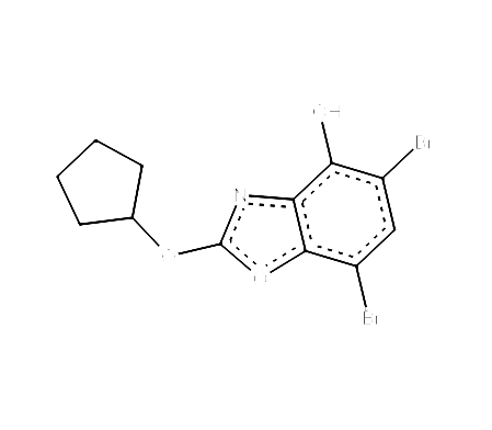 Oc1c(Br)cc(Br)c2oc(OC3CCCC3)nc12